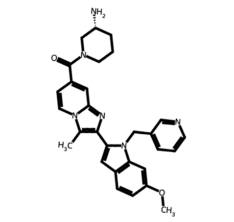 COc1ccc2cc(-c3nc4cc(C(=O)N5CCC[C@@H](N)C5)ccn4c3C)n(Cc3cccnc3)c2c1